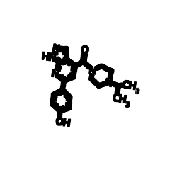 CC(C)N1CCN(C(=O)c2cc(-c3ccc(O)cc3)nc3[nH]ncc23)CC1